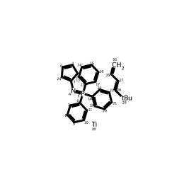 C1=CCC(N=P(c2ccccc2)(c2ccccc2)c2ccccc2)=C1.C=CC=CC(C)(C)C.[Ti]